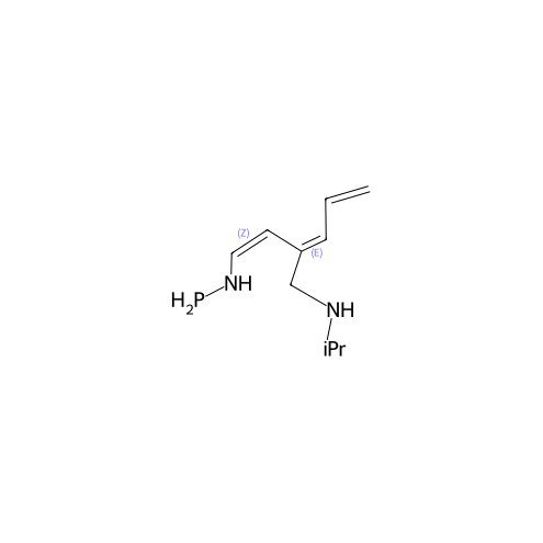 C=C/C=C(\C=C/NP)CNC(C)C